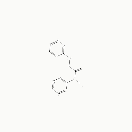 CCN(C(=O)CNc1ccccn1)c1ccccn1